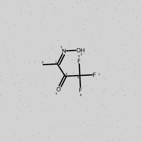 CC(=NO)C(=O)C(F)(F)F